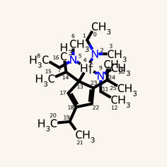 CC[N](C)[Hf]([N](C)CC)([N](C)CC)[C]1(C(C)C)C=C(C(C)C)C=C1C(C)C